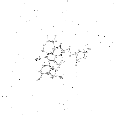 C[C@H]1COc2c(C#N)c(-c3ccc(F)c4sc(N)c(C#N)c34)c(F)c3nc(OC[C@@H]4C[C@@H](F)CN4C)nc(c23)N1C